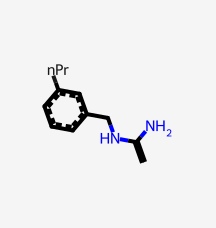 C=C(N)NCc1cccc(CCC)c1